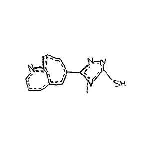 Cn1c(S)nnc1-c1ccc2ncccc2c1